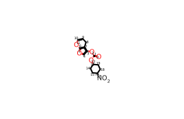 O=C(Oc1coc2c1CC=CO2)OC1CCC([N+](=O)[O-])CC1